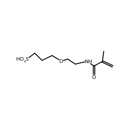 C=C(C)C(=O)NCCOCCCS(=O)(=O)O